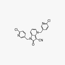 N#Cc1c2n(Cc3ccc(Cl)nc3)cccc-2n(Cc2ccc(Cl)nc2)c1=O